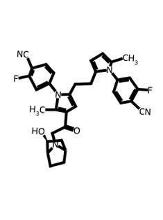 Cc1ccc(CCc2cc(C(=O)CN3C4CCC3[C@@H](O)C4)c(C)n2-c2ccc(C#N)c(F)c2)n1-c1ccc(C#N)c(F)c1